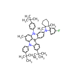 Cc1cc2c3c(c1)N(c1cccc(C(C)(C)C)c1)c1cc(C(C)(C)C)ccc1B3c1ccc(N3c4ccc(F)cc4C4(C)CCCCC34C)cc1N2c1ccc(C(C)(C)C)cc1